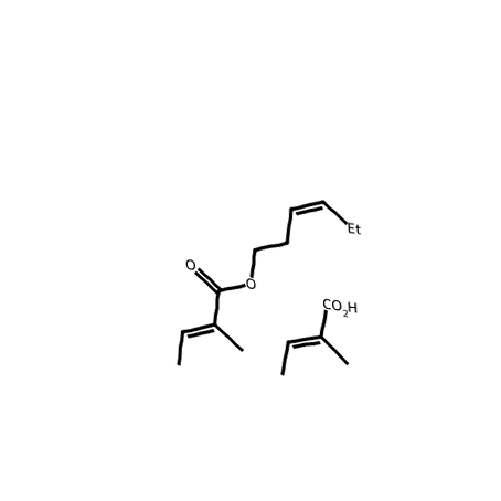 C/C=C(\C)C(=O)O.C/C=C(\C)C(=O)OCC/C=C\CC